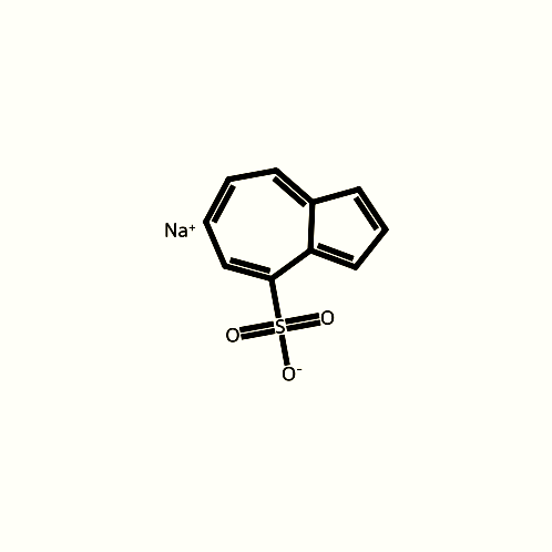 O=S(=O)([O-])c1ccccc2cccc1-2.[Na+]